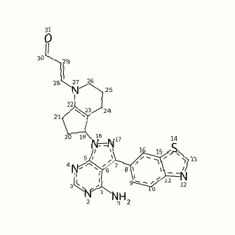 Nc1ncnc2c1c(-c1ccc3ncsc3c1)nn2C1CCC2=C1CCCN2C=CC=O